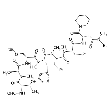 CCN(C)C(=O)C[C@H](NC(=O)[C@H](CC(C)C)N(C)C(=O)[C@H](CC(C)C)N(C)C(=O)[C@H](Cc1ccccc1)N(C)C(=O)[C@H](COC(C)(C)C)NC(=O)[C@H](C)N(C)C(=O)[C@@H](NC=O)[C@@H](C)O)C(=O)N1CCCCC1